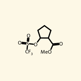 COC(=O)C1CCCC1OS(=O)(=O)C(F)(F)F